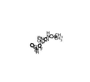 CC(C)N1C(=O)N(c2ccc(NS(=O)(=O)Cc3ccccc3)c(F)c2)Cc2cnc(NC3CCC(N(C)C)CC3)cc21